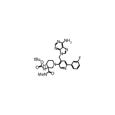 CNC(=O)C1(NC(=O)OC(C)(C)C)CCCN(c2cnc(-c3cccc(F)c3)cc2Cn2cnc3c(N)ncnc32)C1